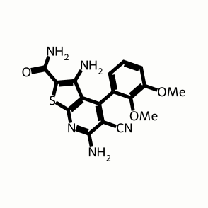 COc1cccc(-c2c(C#N)c(N)nc3sc(C(N)=O)c(N)c23)c1OC